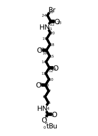 CC(C)(C)OC(=O)NCCCC(=O)CCC(=O)CCC(=O)CCCNC(=O)CBr